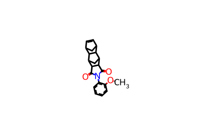 COc1ccccc1N1C(=O)C2C3CC(C2C1=O)C1C2C=CC(C2)C31